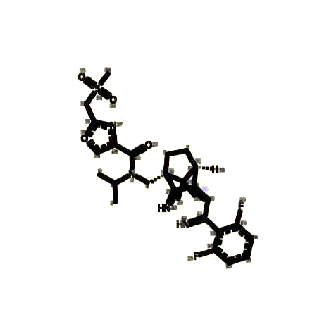 CC(C)N(C[C@@]12CC[C@@H](/C(=C/C(=N)c3c(F)cccc3F)C1=N)C2(C)C)C(=O)c1coc(CS(C)(=O)=O)n1